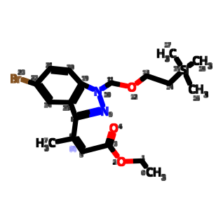 CCOC(=O)/C=C(/C)c1nn(COCC[Si](C)(C)C)c2ccc(Br)cc12